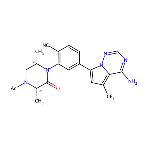 CC(=O)N1C[C@H](C)N(c2cc(-c3cc(C(F)(F)F)c4c(N)ncnn34)ccc2C#N)C(=O)[C@@H]1C